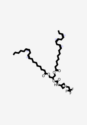 CC/C=C\C/C=C\C/C=C\CCCCCCCC(=O)OCC(COC(=O)CCCCCCC/C=C\C/C=C\CCCCC)OC(=O)NC1CN(CC(F)(F)F)C1